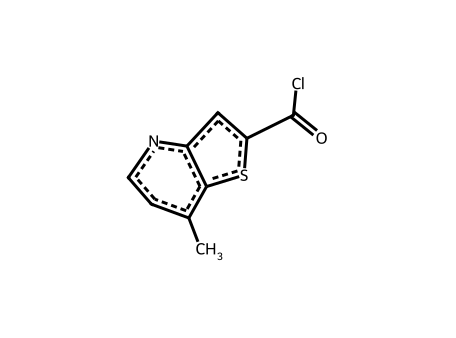 Cc1ccnc2cc(C(=O)Cl)sc12